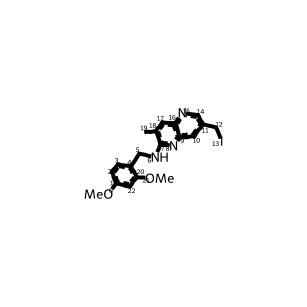 COc1ccc(CNc2nc3cc(CI)cnc3cc2C)c(OC)c1